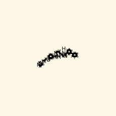 c1ccc(-c2cccc(-c3ncc(-c4ccnc(Nc5cccc(OCCCn6ccnc6)c5)n4)[nH]3)c2)cc1